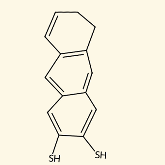 Sc1cc2cc3c(cc2cc1S)CCC=C3